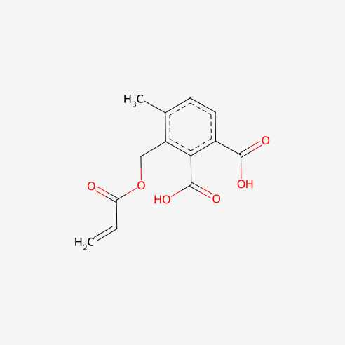 C=CC(=O)OCc1c(C)ccc(C(=O)O)c1C(=O)O